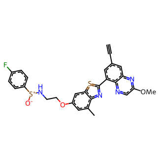 C#Cc1cc(-c2nc3c(C)cc(OCCN[S+]([O-])c4ccc(F)cc4)cc3s2)c2ncc(OC)nc2c1